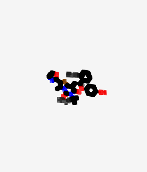 COc1ccccc1[C@H](Cc1c(=O)n(C(C)(C)C(=O)O)c(=O)n2c(C)c(-c3ncco3)sc12)O[C@H]1CC[C@@H](O)CC1